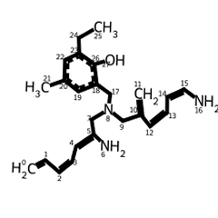 C=C/C=C\C=C(/N)CN(CC(=C)/C=C\C=C/N)Cc1cc(C)cc(CC)c1O